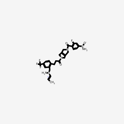 C/C=C/N(N)Cc1cc(C(F)(F)F)ccc1CCC(=O)N1CC2=C(C1)CN(C(=O)c1ccc([S+](N)[O-])cc1F)C2